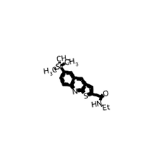 CCNC(=O)c1cc2cc3cc([Si](C)(C)C)ccc3nc2s1